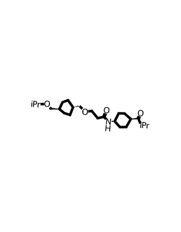 CC(C)OC[C@H]1CC[C@H](COCCC(=O)N[C@H]2CC[C@H](C(=O)C(C)C)CC2)CC1